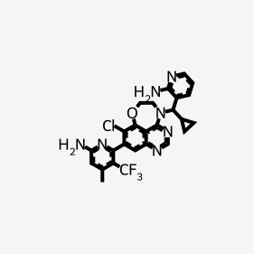 Cc1cc(N)nc(-c2cc3ncnc4c3c(c2Cl)OCCN4C(c2cccnc2N)C2CC2)c1C(F)(F)F